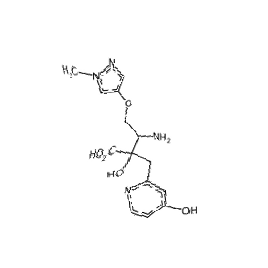 Cn1cc(OCC(N)C(O)(Cc2cc(O)ccn2)C(=O)O)cn1